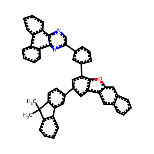 CC1(C)c2ccccc2-c2cc(-c3cc(-c4cccc(-c5cnc6c7ccccc7c7ccccc7c6n5)c4)c4oc5cc6ccccc6cc5c4c3)ccc21